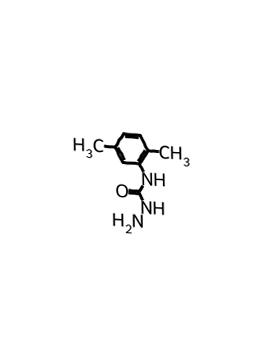 Cc1ccc(C)c(NC(=O)NN)c1